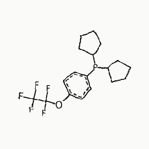 FC(F)(F)C(F)(F)Oc1ccc(P(C2CCCC2)C2CCCC2)cc1